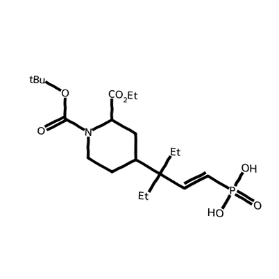 CCOC(=O)C1CC(C(C=CP(=O)(O)O)(CC)CC)CCN1C(=O)OC(C)(C)C